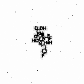 O=C(NCC1(CO)CCC1)c1c(O)c2ncc(Cc3ccc(F)cc3)c3c2n(c1=O)CC(F)(F)CN3